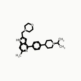 Cc1cc2[nH]c(CN3CCOCC3)cc2c(-c2ccc(C3CCN(C(C)C)CC3)cc2)n1